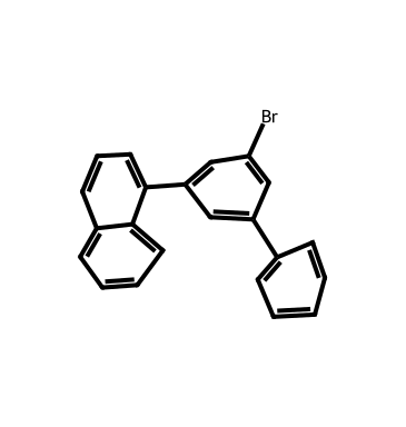 Brc1cc(-c2ccccc2)cc(-c2cccc3ccccc23)c1